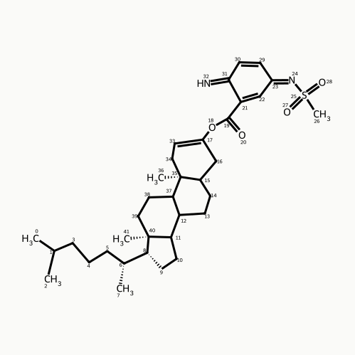 CC(C)CCC[C@@H](C)[C@H]1CCC2C3CCC4CC(OC(=O)C5=CC(=NS(C)(=O)=O)C=CC5=N)=CC[C@]4(C)C3CC[C@@]21C